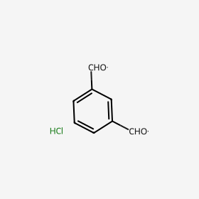 Cl.O=[C]c1cccc([C]=O)c1